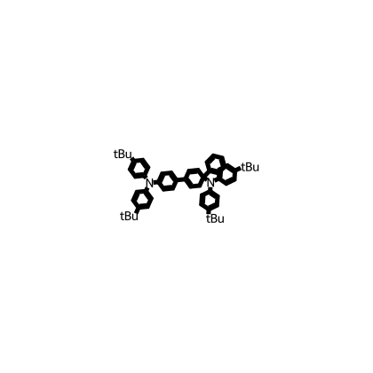 CC(C)(C)c1ccc(N(c2ccc(C3=CCC(c4ccccc4)(N(c4ccc(C(C)(C)C)cc4)c4ccc(C(C)(C)C)cc4)C=C3)cc2)c2ccc(C(C)(C)C)cc2)cc1